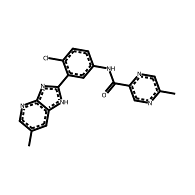 Cc1cnc2nc(-c3cc(NC(=O)c4cnc(C)cn4)ccc3Cl)[nH]c2c1